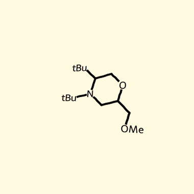 COCC1CN(C(C)(C)C)C(C(C)(C)C)CO1